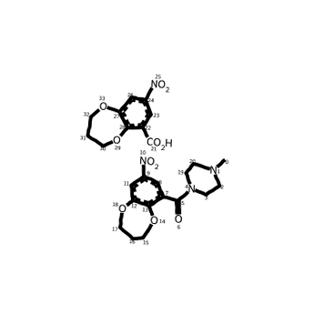 CN1CCN(C(=O)c2cc([N+](=O)[O-])cc3c2OCCCO3)CC1.O=C(O)c1cc([N+](=O)[O-])cc2c1OCCCO2